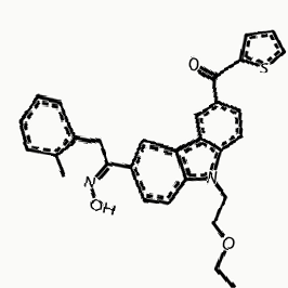 CCOCCn1c2ccc(C(=O)c3cccs3)cc2c2cc(/C(Cc3ccccc3C)=N\O)ccc21